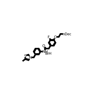 Br.CCCCCCCCCCCCOc1ccc(CC(=O)Nc2cccc(CN3C=C(C)SC3)c2)cc1F